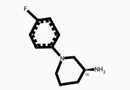 N[C@H]1CCCN(c2ccc(F)cc2)C1